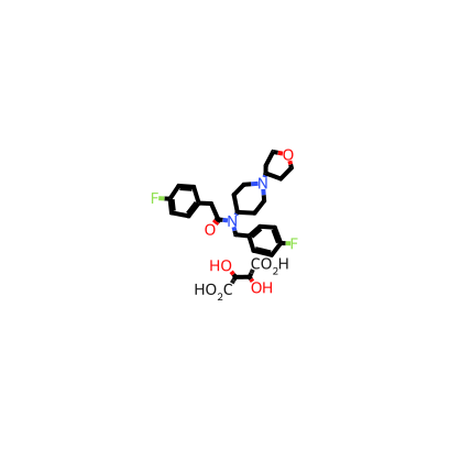 O=C(Cc1ccc(F)cc1)N(Cc1ccc(F)cc1)C1CCN(C2CCOCC2)CC1.O=C(O)C(O)C(O)C(=O)O